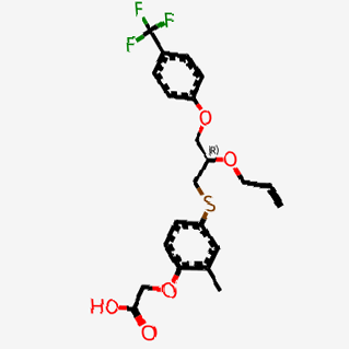 C=CCO[C@H](COc1ccc(C(F)(F)F)cc1)CSc1ccc(OCC(=O)O)c(C)c1